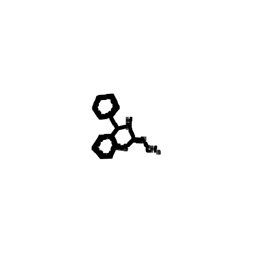 C/N=C(/NC(c1ccccc1)c1ccccc1)SC